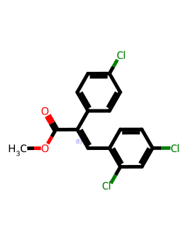 COC(=O)/C(=C/c1ccc(Cl)cc1Cl)c1ccc(Cl)cc1